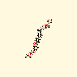 C=CC(=O)OCCOc1ccc(SC(=O)c2ccc(-c3ccc4cc(OCCCOC(=O)C(=C)CO)ccc4c3)cc2)cc1